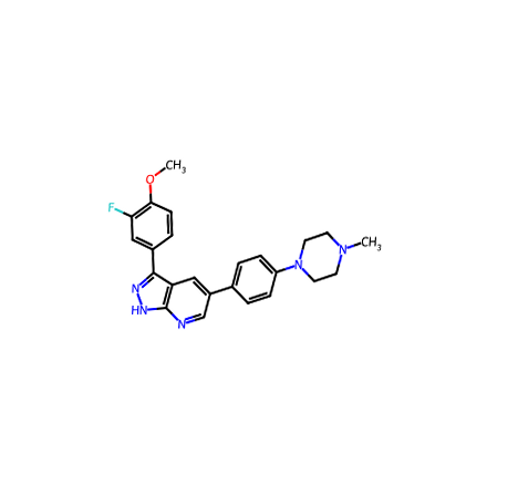 COc1ccc(-c2n[nH]c3ncc(-c4ccc(N5CCN(C)CC5)cc4)cc23)cc1F